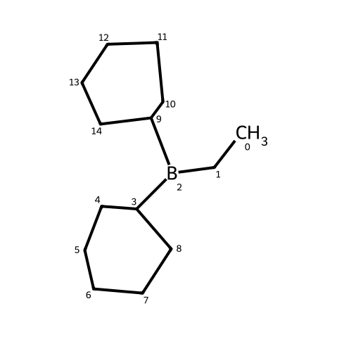 CCB(C1CCCCC1)C1CCCCC1